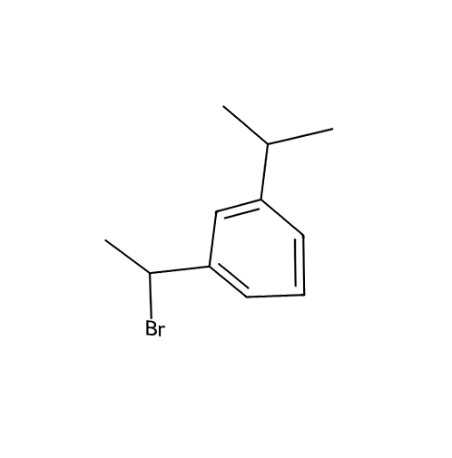 CC(C)c1cccc(C(C)Br)c1